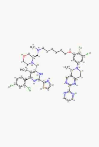 CC1c2cnc(-c3ncccn3)nc2CCN1c1cc(F)c(F)c(OCCCCCCN(C)C[C@@H]2COCCN2CC2=C(C(=O)O)[C@H](c3ccc(F)cc3Cl)N=C(c3nccs3)N2)c1